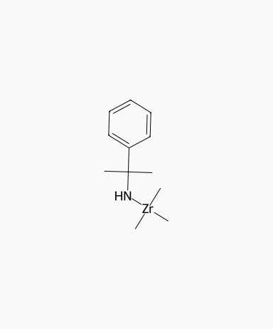 CC(C)([NH][Zr]([CH3])([CH3])[CH3])c1ccccc1